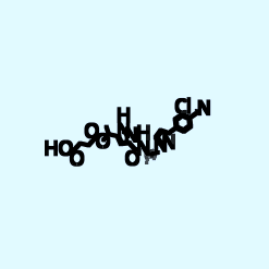 CC(OC(=O)CCC(=O)O)c1cc(C(=O)N[C@@H](C)Cn2ccc(-c3ccc(C#N)c(Cl)c3)n2)n[nH]1